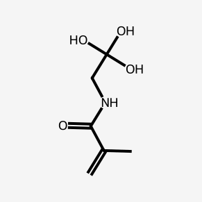 C=C(C)C(=O)NCC(O)(O)O